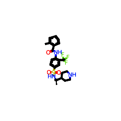 Cc1ccccc1C(=O)Nc1ccc(S(=O)(=O)N[C@H](C)C2CCNCC2)cc1C(F)(F)F